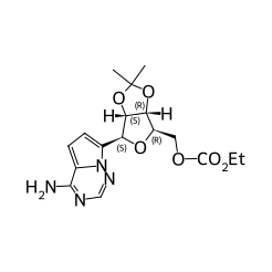 CCOC(=O)OC[C@H]1O[C@@H](c2ccc3c(N)ncnn23)[C@@H]2OC(C)(C)O[C@@H]21